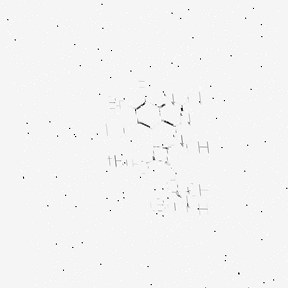 CN(c1nc(Cl)nc2c(F)c(Br)c(C(F)(F)F)cc12)[C@@H]1C[C@H](OC(C)(C)C)[C@@H]1CO[Si](C)(C)C(C)(C)C